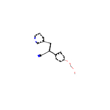 COCOc1ccc(C(C#N)Cc2cccnc2)cc1